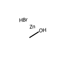 Br.CO.[Zn]